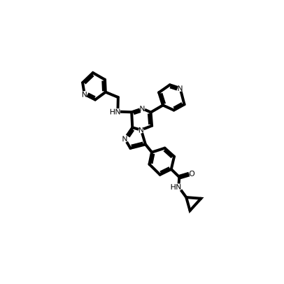 O=C(NC1CC1)c1ccc(-c2cnc3c(NCc4cccnc4)nc(-c4ccncc4)cn23)cc1